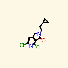 O=C1c2c(cc(Cl)nc2Cl)CN1CCC1CC1